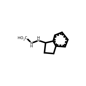 O=C(O)NNC1CCc2ccccc21